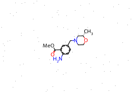 COC(=O)c1cc(CN2CCO[C@@H](C)C2)ccc1N